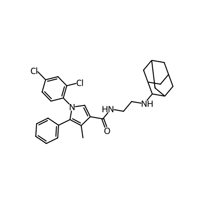 Cc1c(C(=O)NCCNC2C3CC4CC(C3)CC2C4)cn(-c2ccc(Cl)cc2Cl)c1-c1ccccc1